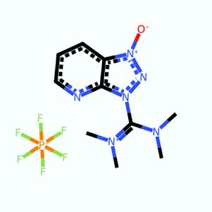 CN(C)C(n1n[n+]([O-])c2cccnc21)=[N+](C)C.F[P-](F)(F)(F)(F)F